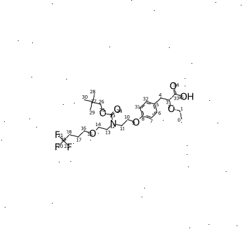 CCOC(Cc1ccc(OCCN(CCOCCCC(F)(F)F)C(=O)OCC(C)(C)C)cc1)C(=O)O